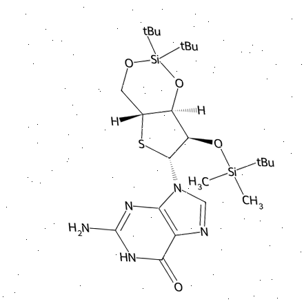 CC(C)(C)[Si](C)(C)O[C@@H]1[C@@H]2O[Si](C(C)(C)C)(C(C)(C)C)OC[C@H]2S[C@H]1n1cnc2c(=O)[nH]c(N)nc21